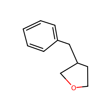 c1ccc(CC2CCOC2)cc1